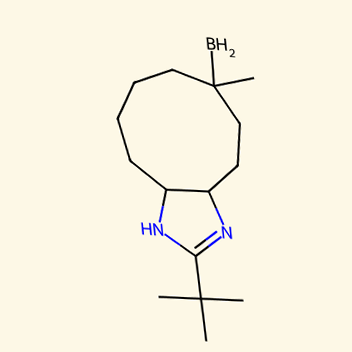 BC1(C)CCCCC2NC(C(C)(C)C)=NC2CC1